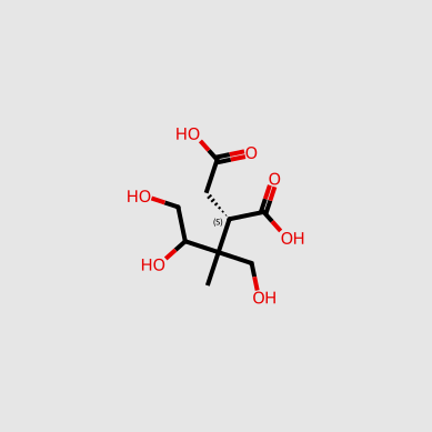 CC(CO)(C(O)CO)[C@H](CC(=O)O)C(=O)O